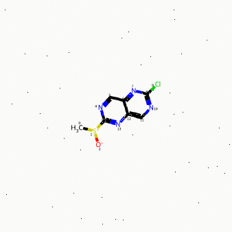 C[S+]([O-])c1ncc2nc(Cl)ncc2n1